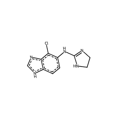 Clc1c(NC2=NCCN2)ccc2[nH]cnc12